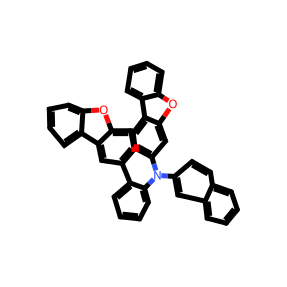 c1ccc(N(c2ccc3ccccc3c2)c2ccc3c(c2)oc2ccccc23)c(-c2ccc3oc4ccccc4c3c2)c1